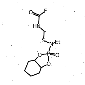 CCN(SCNC(=O)F)P1(=O)OC2CCCCC2O1